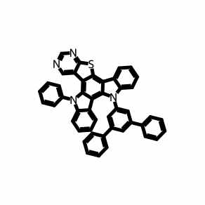 c1ccc(-c2cc(-c3ccccc3)cc(-n3c4ccccc4c4c5sc6ncncc6c5c5c(c6ccccc6n5-c5ccccc5)c43)c2)cc1